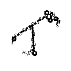 Cn1cc(/C=N/OCCOCCOCCOCC(COCCOCCOCCOc2ccc(I)cc2)OCCOCCOCCN2Cc3ccccc3C3C(N=NN3c3ccc(N=C=S)cc3)c3ccccc32)c2ccccc21